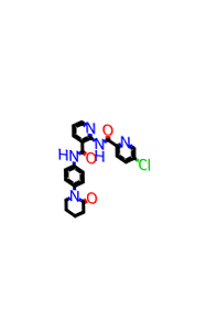 O=C(Nc1ncccc1C(=O)Nc1ccc(N2CCCCC2=O)cc1)c1ccc(Cl)cn1